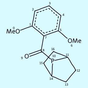 COc1cccc(OC)c1C(=O)P1C2CCC1CC2